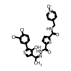 CC(=NNC(=O)c1ccc(C(=O)NCc2cc[n+]([O-])cc2)s1)c1csc(-c2ccc(Cl)c(Cl)c2)c1O